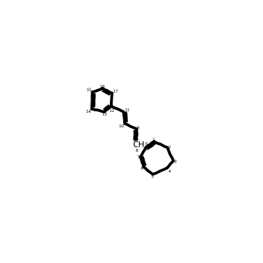 C1=CCCCCC=C1.C=CC=Cc1ccccc1